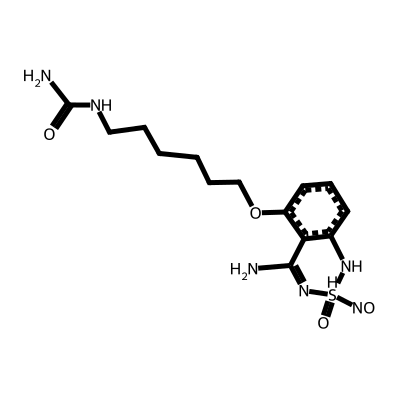 NC(=O)NCCCCCCOc1cccc2c1C(N)=N[SH](=O)(N=O)N2